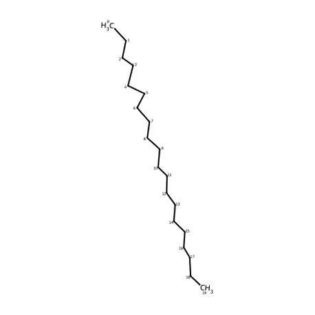 CCC[CH]CCCCCCCCCCCCCCCC